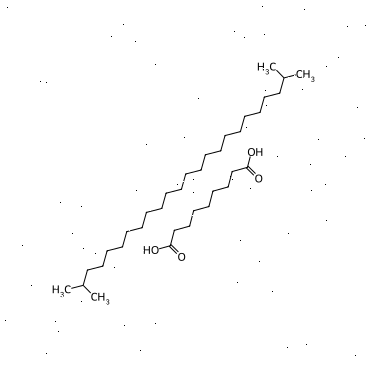 CC(C)CCCCCCCCCCCCCCCCCCCCC(C)C.O=C(O)CCCCCCCC(=O)O